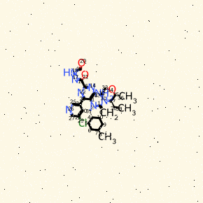 C=C(N(C[C@H]1CC[C@H](C)CC1)c1c(N)nc(-c2n[nH]c(=O)o2)nc1-c1cncc(Cl)c1)N1CCO[C@H](C)[C@H]1CC